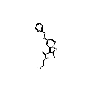 Cc1nn2ccc(OCc3ccccn3)cc2c1C(=O)NCCO